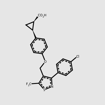 O=C(O)[C@@H]1C[C@@H]1c1ccc(OCc2c(-c3ccc(Cl)cc3)nsc2C(F)(F)F)cc1